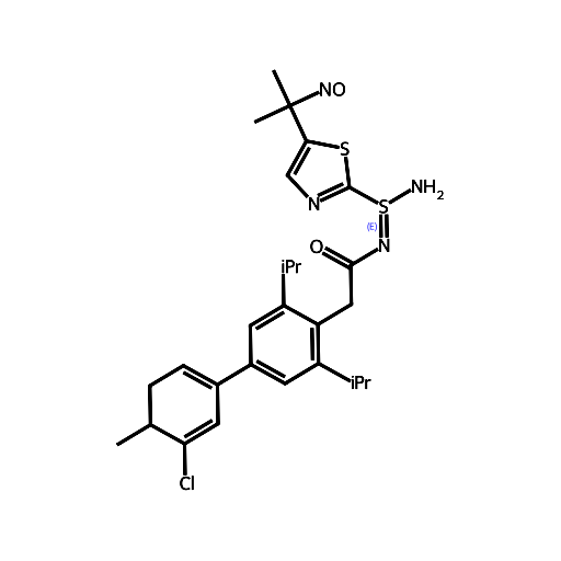 CC1CC=C(c2cc(C(C)C)c(CC(=O)/N=S(/N)c3ncc(C(C)(C)N=O)s3)c(C(C)C)c2)C=C1Cl